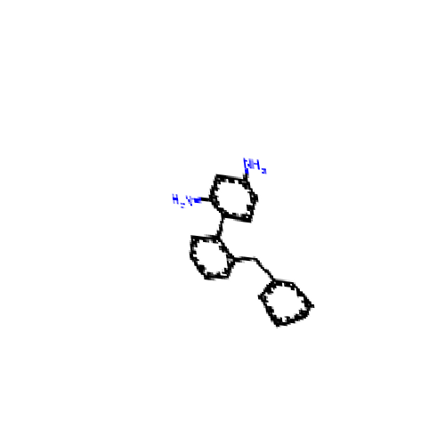 Nc1ccc(-c2ccccc2Cc2ccccc2)c(N)c1